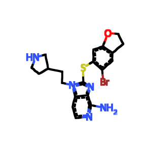 Nc1nccc2c1nc(Sc1cc3c(cc1Br)CCO3)n2CCC1CCNC1